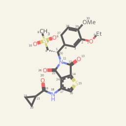 CCOC1=CC([C@@H](CS(C)(=O)=O)N2C(=O)c3scc(NC(=O)C4CC4)c3C2=O)CC=C1OC